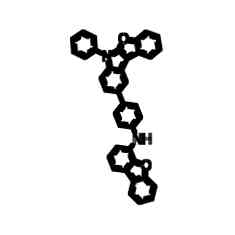 c1ccc(-n2c3ccc(-c4ccc(Nc5cccc6c5oc5ccccc56)cc4)cc3c3c4ccccc4oc32)cc1